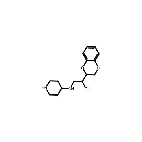 OC(CNC1CCNCC1)C1COc2ccccc2O1